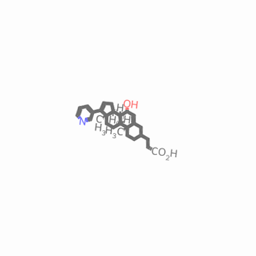 C[C@]12CCC(CCC(=O)O)CC1=CC(O)[C@@H]1[C@H]2CC[C@]2(C)C(c3cccnc3)=CC[C@@H]12